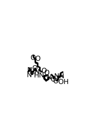 CC[C@@H](C)[C@H](NC(=O)Cn1cccc(NC(=O)C(CCC=CC(=O)OC)NC(=O)c2cncn2C)c1=O)C(=O)O